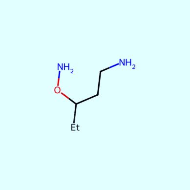 CCC(CCN)ON